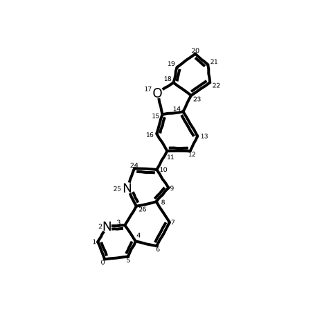 c1cnc2c(c1)ccc1cc(-c3ccc4c(c3)oc3ccccc34)cnc12